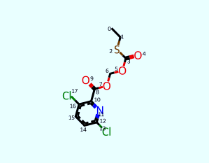 CCSC(=O)OCOC(=O)c1nc(Cl)ccc1Cl